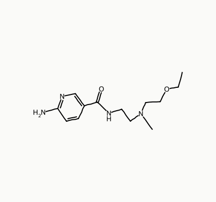 CCOCCN(C)CCNC(=O)c1ccc(N)nc1